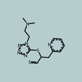 CN(C)CCn1nnnc1SC([C]=S)Cc1ccccn1